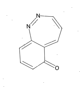 O=c1cccc2nncccc1-2